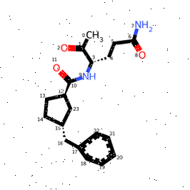 CC(=O)[C@H](CCC(N)=O)NC(=O)[C@@H]1CC[C@@H](Cc2ccccc2)C1